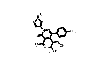 Cc1ccc(-c2nn(-c3cnn(C)c3)c(=O)c(C(N)=O)c2C(CO)C(C)C)cc1